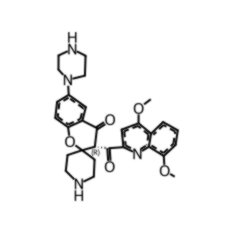 COc1cc(C(=O)[C@H]2C(=O)c3cc(N4CCNCC4)ccc3OC23CCNCC3)nc2c(OC)cccc12